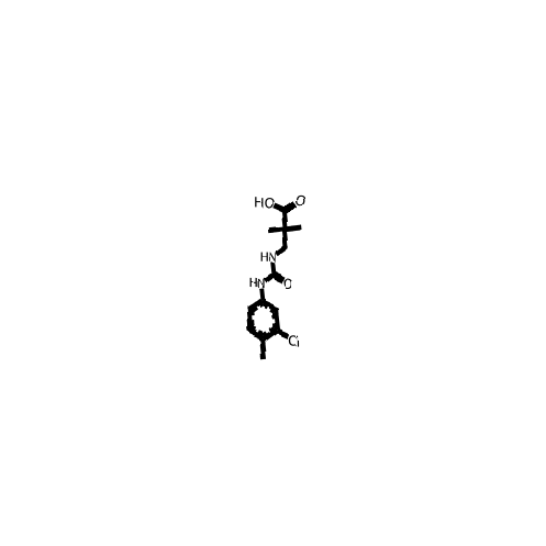 Cc1ccc(NC(=O)NCC(C)(C)C(=O)O)cc1Cl